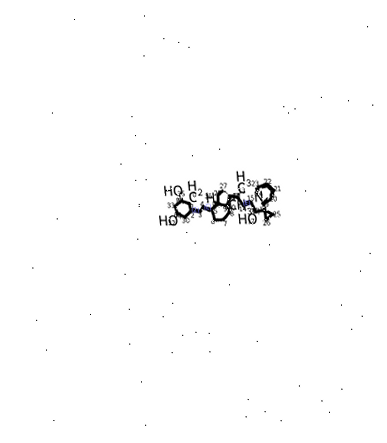 C=C1/C(=C\C=C2/CCC[C@]3(C)[C@@H]([C@H](C)/C=C/[C@H](O)C4(c5ccccn5)CC4)CC[C@@H]23)C[C@@H](O)C[C@@H]1O